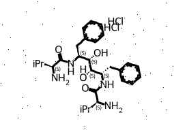 CC(C)[C@H](N)C(=O)N[C@@H](Cc1ccccc1)[C@H](O)[C@@H](O)[C@H](Cc1ccccc1)NC(=O)[C@@H](N)C(C)C.Cl.Cl